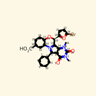 Cn1c(=O)c2c(-c3ccccc3)n3c(c2n(C)c1=O)[C@H](c1ccc(Br)o1)Oc1ccc(C(=O)O)cc1-3